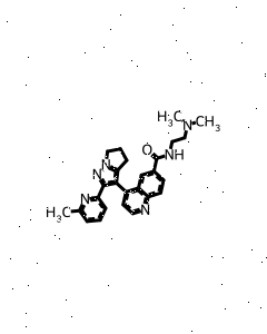 Cc1cccc(-c2nn3c(c2-c2ccnc4ccc(C(=O)NCCN(C)C)cc24)CCC3)n1